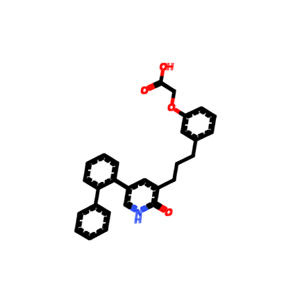 O=C(O)COc1cccc(CCCc2cc(-c3ccccc3-c3ccccc3)c[nH]c2=O)c1